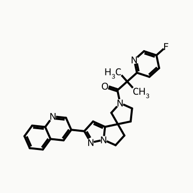 CC(C)(C(=O)N1CCC2(CCn3nc(-c4cnc5ccccc5c4)cc32)C1)c1ccc(F)cn1